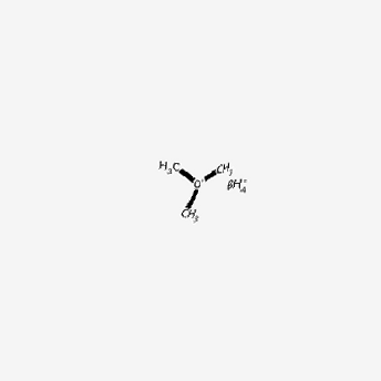 C[O+](C)C.[BH4-]